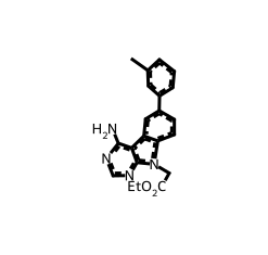 CCOC(=O)Cn1c2ccc(-c3cccc(C)c3)cc2c2c(N)ncnc21